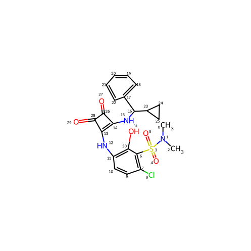 CN(C)S(=O)(=O)c1c(Cl)ccc(Nc2c(NC(c3ccccc3)C3CC3)c(=O)c2=O)c1O